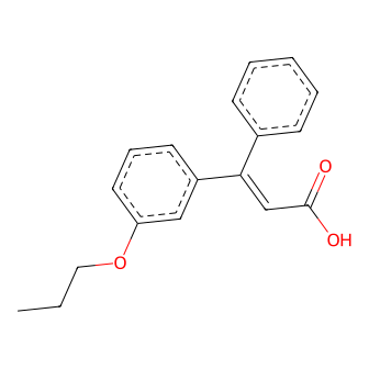 CCCOc1cccc(C(=CC(=O)O)c2ccccc2)c1